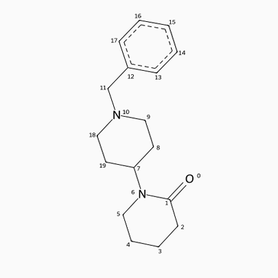 O=C1CCCCN1C1CCN(Cc2ccccc2)CC1